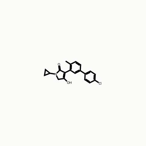 Cc1ccc(-c2ccc(Cl)cc2)cc1C1=C(O)CN(C2CC2)C1=O